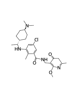 COC1=C(CNC(=O)c2cc(Cl)cc(NC(C)[C@H]3CC[C@H](N(C)C)CC3)c2C)C(=O)CC(C)=N1